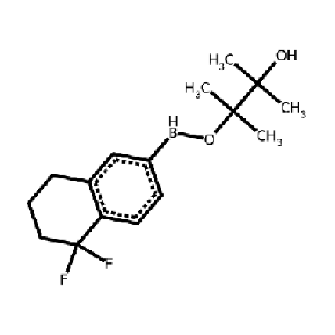 CC(C)(O)C(C)(C)OBc1ccc2c(c1)CCCC2(F)F